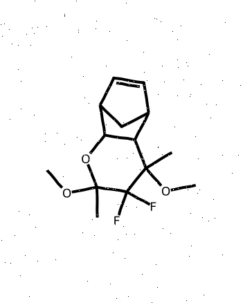 COC1(C)OC2C3C=CC(C3)C2C(C)(OC)C1(F)F